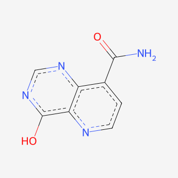 NC(=O)c1ccnc2c(O)ncnc12